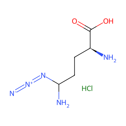 Cl.[N-]=[N+]=NC(N)CC[C@H](N)C(=O)O